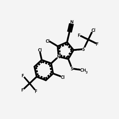 CSc1c(SC(F)(F)Cl)c(C#N)c(Cl)n1-c1c(Cl)cc(C(F)(F)F)cc1Cl